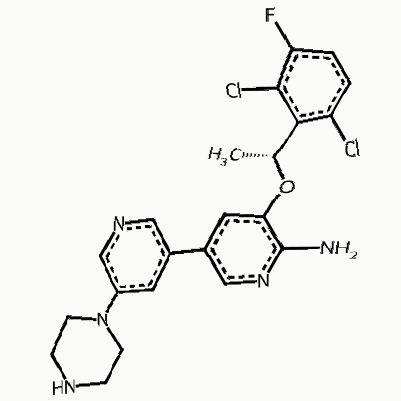 C[C@@H](Oc1cc(-c2cncc(N3CCNCC3)c2)cnc1N)c1c(Cl)ccc(F)c1Cl